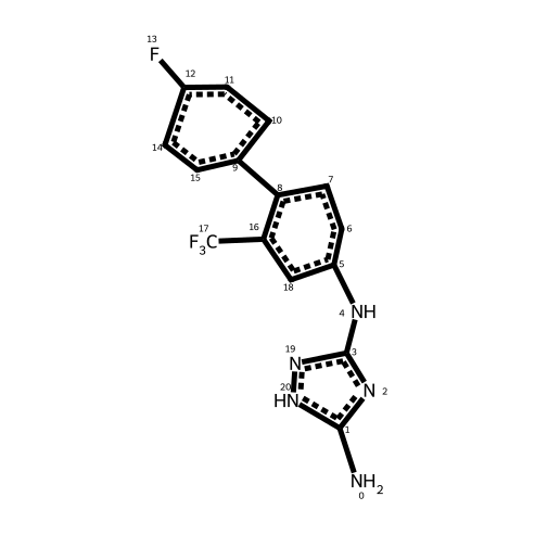 Nc1nc(Nc2ccc(-c3ccc(F)cc3)c(C(F)(F)F)c2)n[nH]1